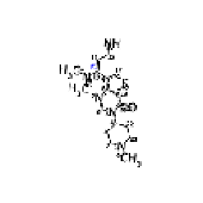 CN1CCC(n2cnc3c(/C(=C\C=N)N(C)C)csc3c2=O)CC1